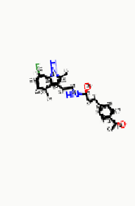 CC(=O)c1ccc(C=CC(=O)NCCc2c(C)[nH]c3c(F)ccc(C)c23)cc1